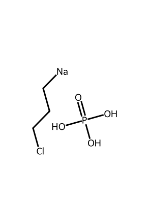 O=P(O)(O)O.[Na][CH2]CCCl